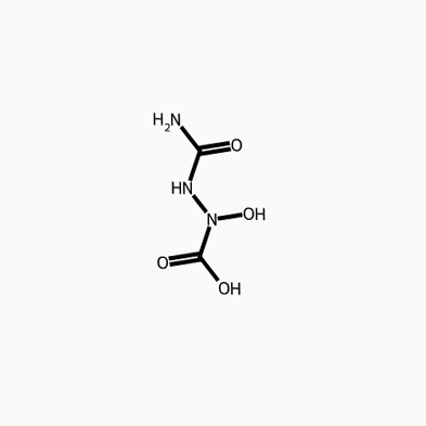 NC(=O)NN(O)C(=O)O